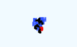 C=CC(=O)N1CCCC(Nc2ncnc3[nH]cc(C#N)c23)C1